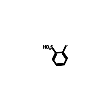 [CH2]c1ccccc1S(=O)(=O)O